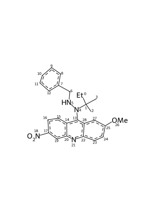 CCC(C)(C)N(NCc1ccccc1)c1c2ccc([N+](=O)[O-])cc2nc2ccc(OC)cc12